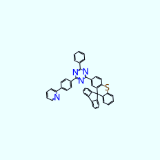 c1ccc(-c2nc(-c3ccc(-c4ccccn4)cc3)nc(-c3ccc4c(c3)C3(c5ccccc5S4)c4ccccc4-c4ccccc43)n2)cc1